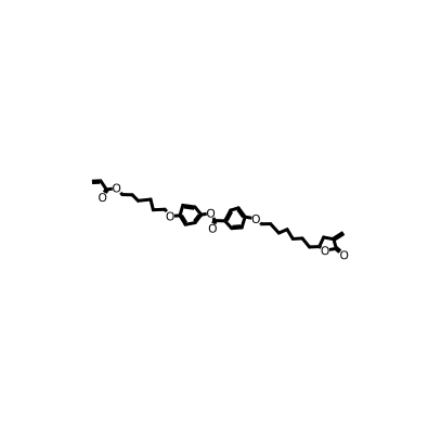 C=CC(=O)OCCCCCCOc1ccc(OC(=O)c2ccc(OCCCCCCCC3CC(=C)C(=O)O3)cc2)cc1